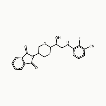 N#Cc1cccc(NC[C@H](O)C2OCC(N3C(=O)c4ccccc4C3=O)CO2)c1F